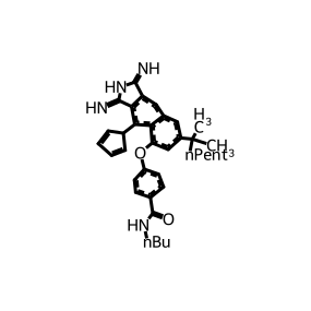 CCCCCC(C)(C)c1cc(Oc2ccc(C(=O)NCCCC)cc2)c2c(C3C=CC=C3)c3c(cc2c1)C(=N)NC3=N